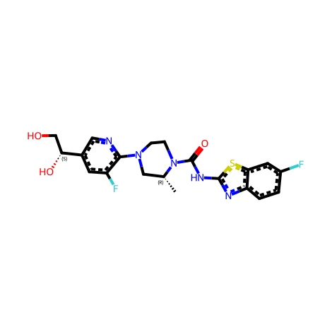 C[C@@H]1CN(c2ncc([C@H](O)CO)cc2F)CCN1C(=O)Nc1nc2ccc(F)cc2s1